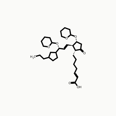 CCCC1CCC([C@@H](/C=C/[C@H]2[C@H](OC3CCCCO3)CC(=O)[C@@H]2CCCC/C=C/C(=O)O)OC2CCCCO2)C1